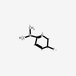 CN(C)C1=NCC(F)C=C1